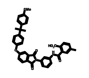 COc1ccc(C(C)(C)c2ccc(Oc3ccc4c(c3)C(=O)N(c3cccc(NC(=O)c5cc(C)ccc5C(=O)O)c3)C4=O)cc2)cc1